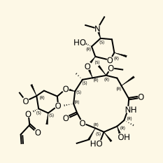 C=CC(=O)O[C@H]1[C@H](C)OC(O[C@H]2[C@H](C)[C@@H](O[C@@H]3O[C@H](C)C[C@H](N(C)C)[C@H]3O)[C@](C)(OC)C[C@@H](C)C(=O)N[C@H](C)[C@@H](O)[C@](C)(O)[C@@H](CC)OC(=O)[C@@H]2C)C[C@@]1(C)OC